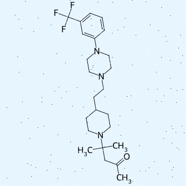 CC(=O)CC(C)(C)N1CCC(CCN2CCN(c3cccc(C(F)(F)F)c3)CC2)CC1